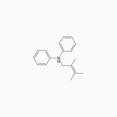 CC(C)=C(C)C[SiH](c1ccccc1)c1ccccc1